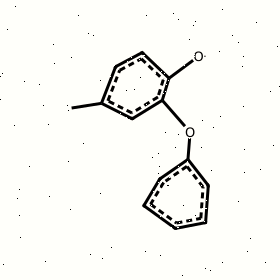 Cc1ccc([O])c(Oc2ccccc2)c1